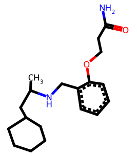 CC(CC1CCCCC1)NCc1ccccc1OCCC(N)=O